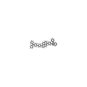 c1ccc(N(c2ccccc2)c2ccc(-c3ccc(-c4ccc5ccc6c(-c7ccc(-c8nc9ccccc9n8-c8ccccc8)cc7)ccc7ccc4c5c76)cc3)cc2)cc1